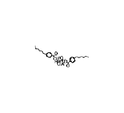 CCCCCCc1ccc(C(=O)O[C@@H]2CO[C@H]3[C@H]2OC[C@@]3(C)OC(=O)c2ccc(CCCCCC)cc2)cc1